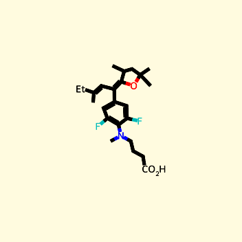 CC/C(C)=C/C(=C1/OC(C)(C)CC1C)c1cc(F)c(N(C)CCCC(=O)O)c(F)c1